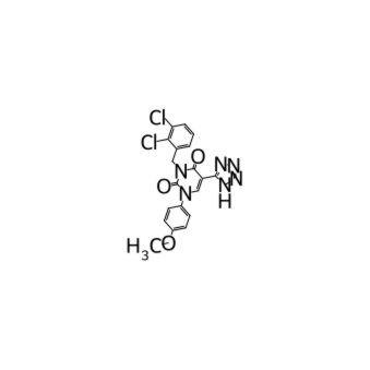 COc1ccc(-n2cc(-c3nnn[nH]3)c(=O)n(Cc3cccc(Cl)c3Cl)c2=O)cc1